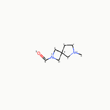 CN1CCC2(C1)CN(C=O)C2